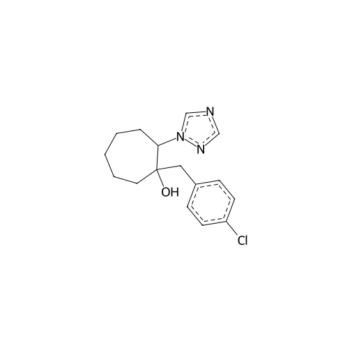 OC1(Cc2ccc(Cl)cc2)CCCCCC1n1cncn1